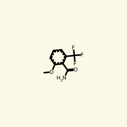 COc1cccc(C(F)(F)F)c1C(N)=O